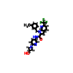 Cc1cccc(Cn2c(C(=O)Nc3ccc(N4CC(O)C4)nc3)cc3ccc(C(F)(F)F)nc32)c1